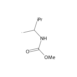 [CH2]C(C)C([CH2])NC(=O)OC